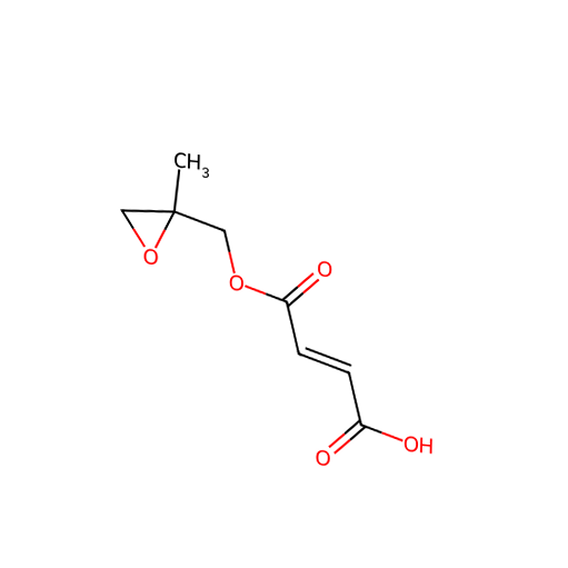 CC1(COC(=O)/C=C/C(=O)O)CO1